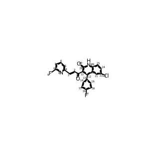 O=C(/C=C/c1cccc(F)n1)c1c(-c2ccc(F)cc2)c2cc(Cl)ccc2[nH]c1=O